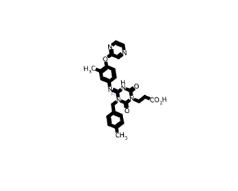 Cc1ccc(Cn2c(=O)n(CCC(=O)O)c(=O)[nH]/c2=N\c2ccc(Oc3cnccn3)c(C)c2)cc1